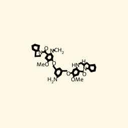 C=Nc1cc(OCc2cc(N)cc(COc3cc4c(cc3OC)C(=O)N3c5ccccc5C[C@H]3CN4)c2)c(OC)cc1C(=O)N1CCc2ccccc21